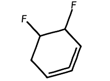 FC1C=C=CCC1F